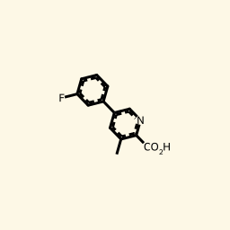 Cc1cc(-c2cccc(F)c2)cnc1C(=O)O